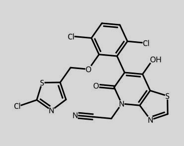 N#CCn1c(=O)c(-c2c(Cl)ccc(Cl)c2OCc2cnc(Cl)s2)c(O)c2scnc21